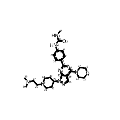 CNC(=O)Nc1ccc(-c2nc(N3CCOCC3)c3cnn(C4CCN(CCN(C)C)CC4)c3n2)cc1